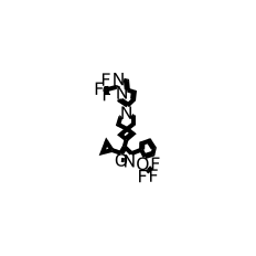 FC(F)(F)Oc1ccccc1-c1noc(C2CC2)c1C1=CC2(CCN(c3ccc4cnc(C(F)(F)F)n4c3)CC2)C1